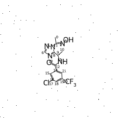 CC(=NO)n1ncnc1C(C)NC(=O)c1cc(Cl)cc(C(F)(F)F)c1